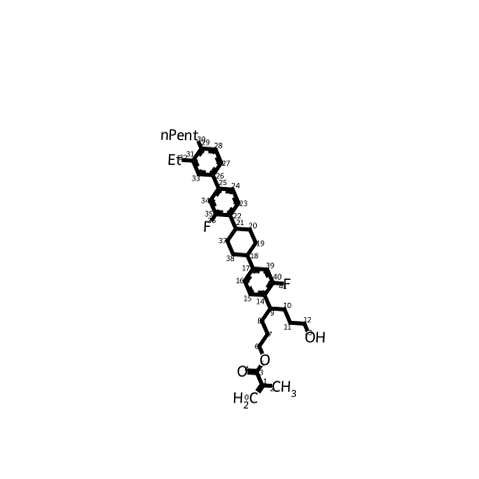 C=C(C)C(=O)OCCCC(CCCO)c1ccc(C2CCC(c3ccc(-c4ccc(CCCCC)c(CC)c4)cc3F)CC2)cc1F